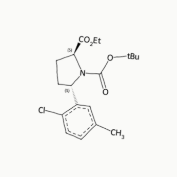 CCOC(=O)[C@@H]1CC[C@@H](c2cc(C)ccc2Cl)N1C(=O)OC(C)(C)C